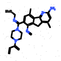 C=CC(=C)N1CCN(/C(=N/COC)c2cc(C)c3c(c2N=C)Cc2c(C)cc(N)nc2-3)CC1